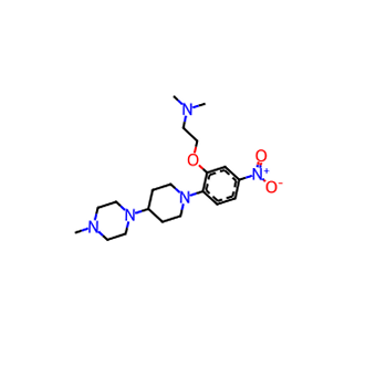 CN(C)CCOc1cc([N+](=O)[O-])ccc1N1CCC(N2CCN(C)CC2)CC1